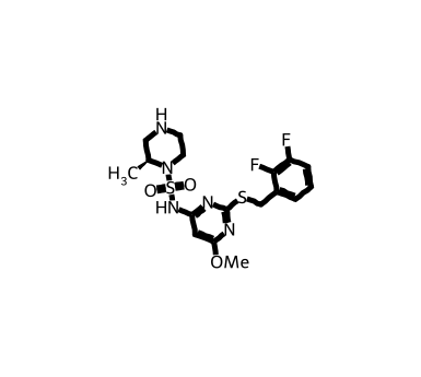 COc1cc(NS(=O)(=O)N2CCNC[C@@H]2C)nc(SCc2cccc(F)c2F)n1